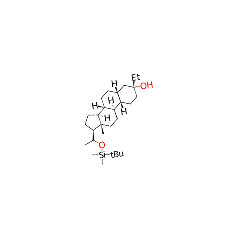 CC[C@@]1(O)CC[C@H]2[C@H](CC[C@@H]3[C@@H]2CC[C@]2(C)[C@@H](C(C)O[Si](C)(C)C(C)(C)C)CC[C@@H]32)C1